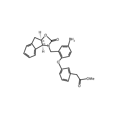 Bc1ccc(Oc2cccc(CC(=O)OC)c2)c(CN2C(=O)O[C@@H]3Cc4ccccc4[C@@H]32)c1